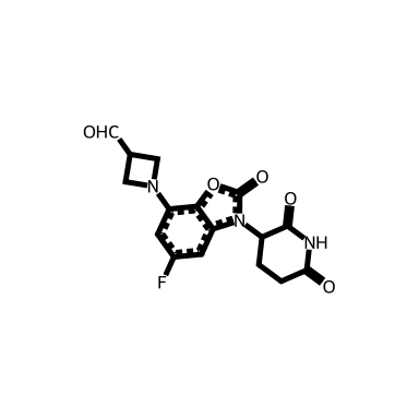 O=CC1CN(c2cc(F)cc3c2oc(=O)n3C2CCC(=O)NC2=O)C1